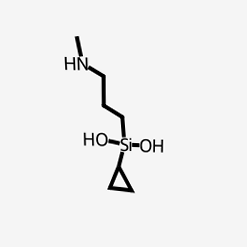 CNCCC[Si](O)(O)C1CC1